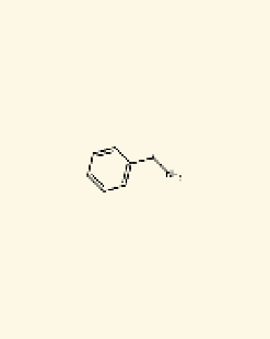 N[CH]c1ccccc1